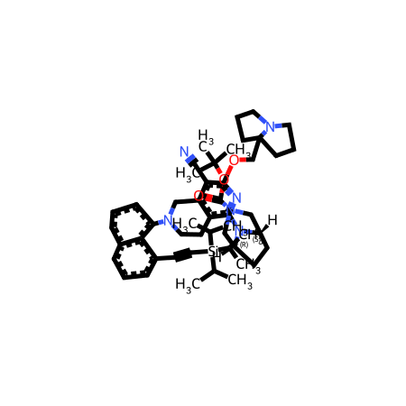 CC(C)[Si](C#Cc1cccc2cccc(N3CCc4c(N5[C@@H]6CC[C@H]5CN(C(=O)OC(C)(C)C)C6)nc(OCC56CCCN5CCC6)c(C#N)c4C3)c12)(C(C)C)C(C)C